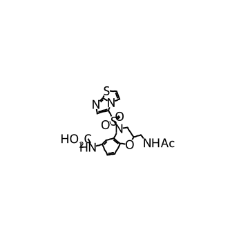 CC(=O)NCC1CN(S(=O)(=O)c2cnc3sccn23)c2cc(NC(=O)O)ccc2O1